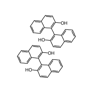 Oc1ccc2ccccc2c1-c1c(O)ccc2ccccc12.Oc1ccc2ccccc2c1-c1c(O)ccc2ccccc12